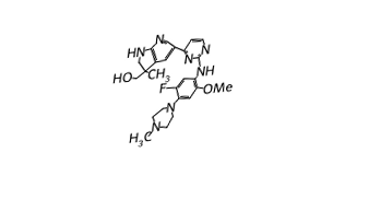 COc1cc(N2CCN(C)CC2)c(F)cc1Nc1nccc(-c2cnc3c(c2)C(C)(CO)CN3)n1